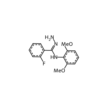 COc1cccc(OC)c1NC(=NN)c1ccccc1F